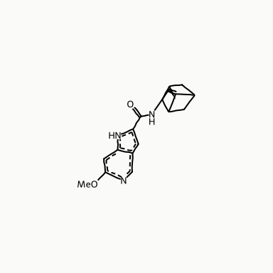 COc1cc2[nH]c(C(=O)NC3=C4C5CC(C3)CC4C5)cc2cn1